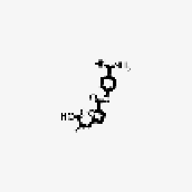 C[C@H](Cc1ccc(C(=O)Oc2ccc(C(=N)N)cc2)o1)C(=O)O